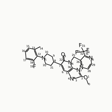 COc1cnc2cc(C3CCN(c4c(C)cccc4F)CC3)c(=O)n(Cc3nccnc3C(F)(F)F)c2n1